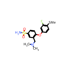 CSc1ccc(Oc2ccc(S(N)(=O)=O)cc2CN(C)C)cc1F